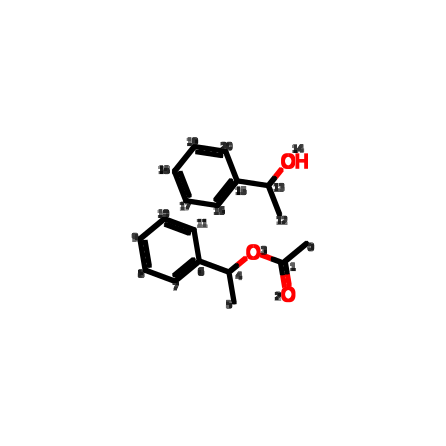 CC(=O)OC(C)c1ccccc1.CC(O)c1ccccc1